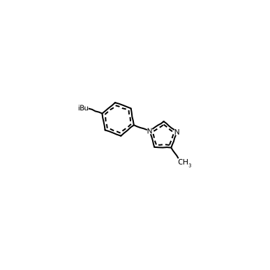 CCC(C)c1ccc(-n2cnc(C)c2)cc1